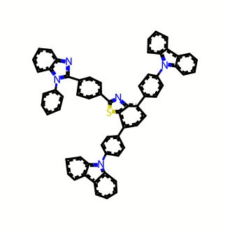 c1ccc(-n2c(-c3ccc(-c4nc5c(-c6ccc(-n7c8ccccc8c8ccccc87)cc6)ccc(-c6ccc(-n7c8ccccc8c8ccccc87)cc6)c5s4)cc3)nc3ccccc32)cc1